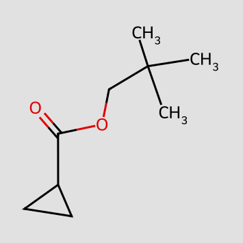 CC(C)(C)COC(=O)C1CC1